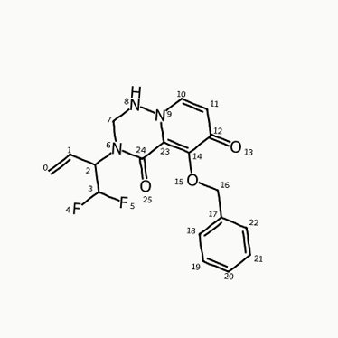 C=CC(C(F)F)N1CNn2ccc(=O)c(OCc3ccccc3)c2C1=O